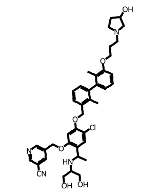 Cc1c(COc2cc(OCc3cncc(C#N)c3)c(C(C)NC(CO)CO)cc2Cl)cccc1-c1cccc(OCCCN2CCC(O)C2)c1C